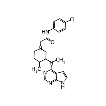 CC1CCN(CC(=O)Nc2ccc(Cl)cc2)CC1N(C)c1ncnc2[nH]ccc12